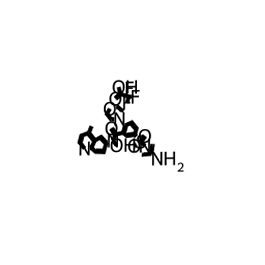 Cc1ccnc2ccc(N(O)C(=O)c3cc(S(=O)(=O)N4CC(N)C4)ccc3N3CCOCC3)cc12.O=C(O)C(F)(F)F